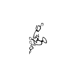 O=C1CC[C@@H](C(=O)N2CC(F)C2)n2c1nn(Cc1ccc(Cl)cn1)c2=O